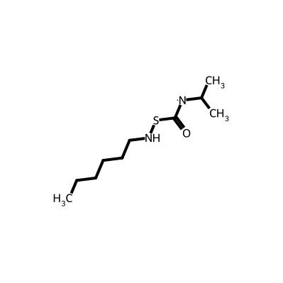 CCCCCCNSC(=O)[N]C(C)C